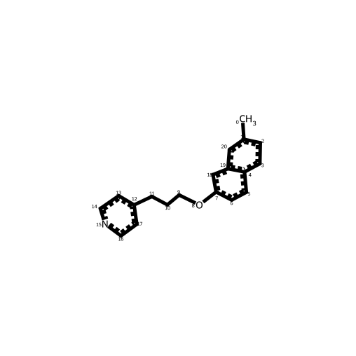 Cc1ccc2ccc(OCCCc3ccncc3)cc2c1